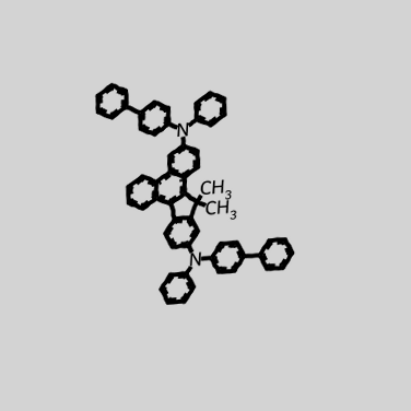 CC1(C)c2cc(N(c3ccccc3)c3ccc(-c4ccccc4)cc3)ccc2-c2c1c1ccc(N(c3ccccc3)c3ccc(-c4ccccc4)cc3)cc1c1ccccc21